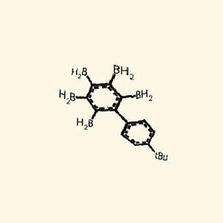 Bc1c(B)c(B)c(-c2ccc(C(C)(C)C)cc2)c(B)c1B